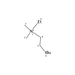 CC[N+](C)(C)CCC(C)(C)C